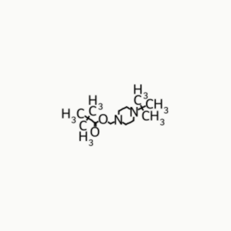 CC(C)(C)C(=O)OCN1CCN(C(C)(C)C)CC1